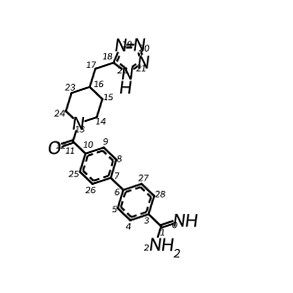 N=C(N)c1ccc(-c2ccc(C(=O)N3CCC(Cc4nnn[nH]4)CC3)cc2)cc1